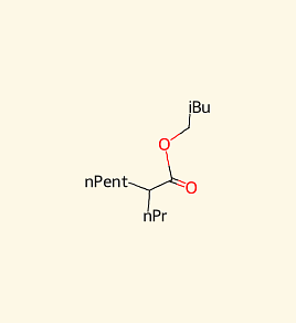 CCCCCC(CCC)C(=O)OCC(C)CC